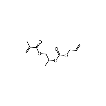 C=CCOC(=O)OC(C)COC(=O)C(=C)C